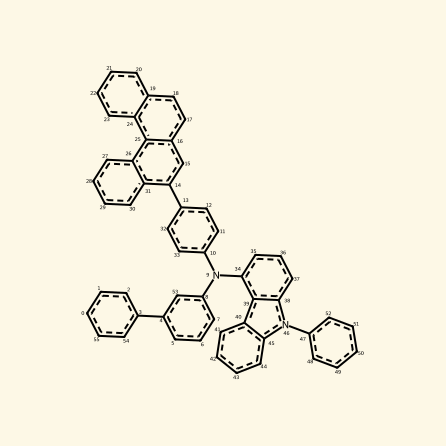 c1ccc(-c2cccc(N(c3ccc(-c4cc5ccc6ccccc6c5c5ccccc45)cc3)c3cccc4c3c3ccccc3n4-c3ccccc3)c2)cc1